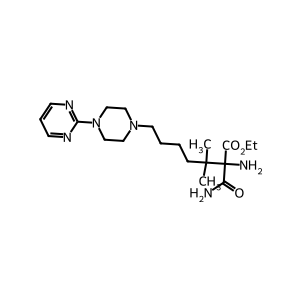 CCOC(=O)C(N)(C(N)=O)C(C)(C)CCCCN1CCN(c2ncccn2)CC1